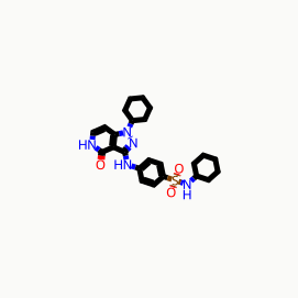 O=c1[nH]ccc2c1c(Nc1ccc(S(=O)(=O)NC3CCCCC3)cc1)nn2C1CCCCC1